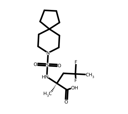 CC(F)(F)C[C@](C)(NS(=O)(=O)N1CCC2(CCCC2)CC1)C(=O)O